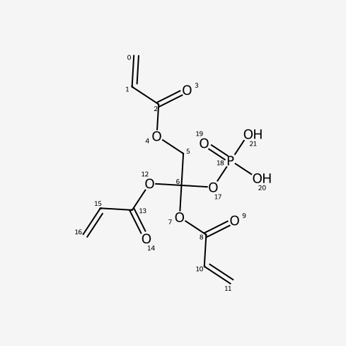 C=CC(=O)OCC(OC(=O)C=C)(OC(=O)C=C)OP(=O)(O)O